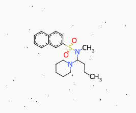 CCCC(N1CCCCC1)N(C)S(=O)(=O)c1ccc2ccccc2c1